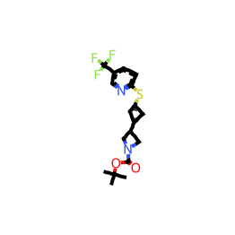 CC(C)(C)OC(=O)N1CC(C23CC(Sc4ccc(C(F)(F)F)cn4)(C2)C3)C1